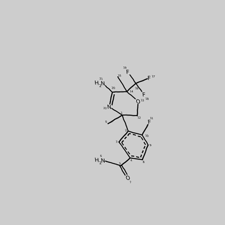 CC1(c2cc(C(N)=O)ccc2F)COC(C)(C(F)(F)F)C(N)=N1